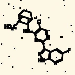 O=C(O)C1C2CCC(CC2)C1Nc1nc(-c2n[nH]c3ncc(F)cc23)ncc1Cl